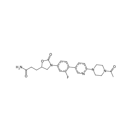 CC(=O)N1CCN(c2ccc(-c3ccc(N4CC(CCC(N)=O)OC4=O)cc3F)cn2)CC1